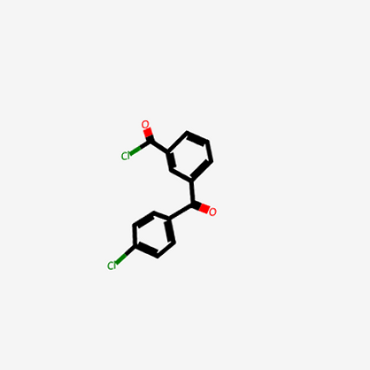 O=C(Cl)c1cccc(C(=O)c2ccc(Cl)cc2)c1